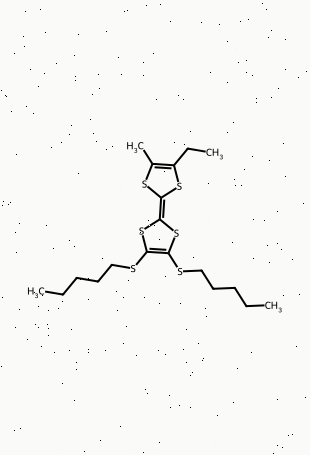 CCCCCSC1=C(SCCCCC)SC(=C2SC(C)=C(CC)S2)S1